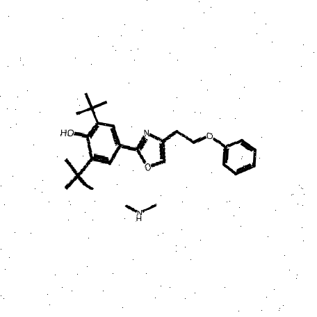 CC(C)(C)c1cc(-c2nc(CCOc3ccccc3)co2)cc(C(C)(C)C)c1O.CNC